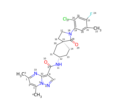 Cc1cc(C)n2ncc(C(=O)N[C@H]3CC[C@@]4(CCN(c5cc(C)c(F)cc5Cl)C4=O)CC3)c2n1